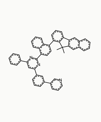 CC1(C)c2cc3ccccc3cc2-c2cccc(-c3ccc(-c4nc(-c5ccccc5)cc(-c5cccc(-c6cccnc6)c5)n4)c4ccccc34)c21